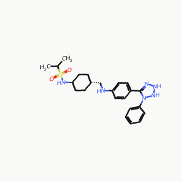 CC(C)S(=O)(=O)N[C@H]1CC[C@H](CNc2ccc(C3=NNNN3c3ccccc3)cc2)CC1